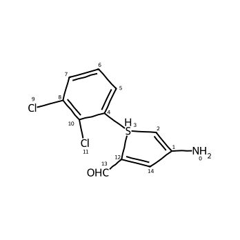 NC1=C[SH](c2cccc(Cl)c2Cl)C(C=O)=C1